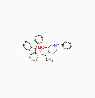 CC(COC(c1ccccc1)(c1ccccc1)c1ccccc1)[C@H]1CCN(Cc2ccccc2)C[C@@H]1O